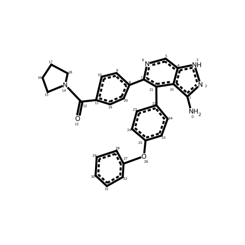 Nc1n[nH]c2cnc(-c3ccc(C(=O)N4CCCC4)cc3)c(-c3ccc(Oc4ccccc4)cc3)c12